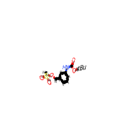 CC(C)(C)OC(=O)Nc1cccc(COS(C)(=O)=O)c1